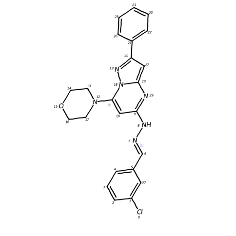 Clc1cccc(/C=N/Nc2cc(N3CCOCC3)n3nc(-c4ccccc4)cc3n2)c1